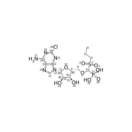 CCCS(=O)(=O)C(OC[C@H]1O[C@@H](n2cnc3c(N)nc(Cl)nc32)[C@H](O)[C@@H]1O)P(=O)(O)O